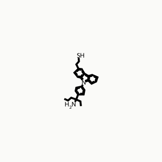 CCCC(N)(CC)c1ccc(-n2c3ccccc3c3cc(CCS)ccc32)cc1